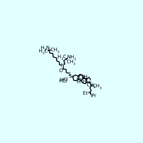 CC[C@H](CC[C@@H](C)[C@H]1CC[C@H]2[C@@H]3CC=C4C[C@@H](SSCCC(=O)N(CCCCCCCC(C)(C)N)CCC(C)(C)N)CC[C@]4(C)[C@H]3CC[C@]12C)C(C)C.Cl.Cl